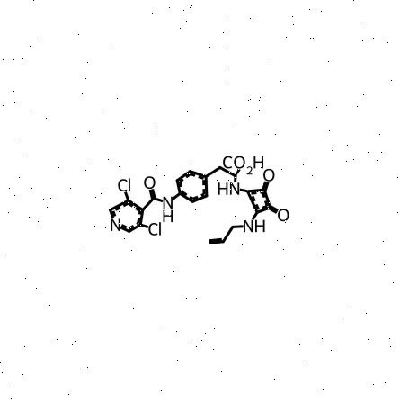 C=CCNc1c(N[C@@H](Cc2ccc(NC(=O)c3c(Cl)cncc3Cl)cc2)C(=O)O)c(=O)c1=O